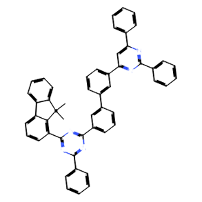 CC1(C)c2ccccc2-c2cccc(-c3nc(-c4ccccc4)nc(-c4cccc(-c5cccc(-c6cc(-c7ccccc7)nc(-c7ccccc7)n6)c5)c4)n3)c21